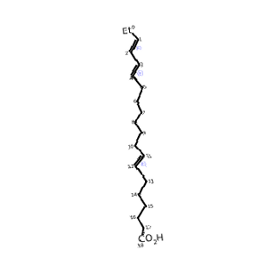 CC/C=C/C=C/CCCCCC/C=C/CCCCCC(=O)O